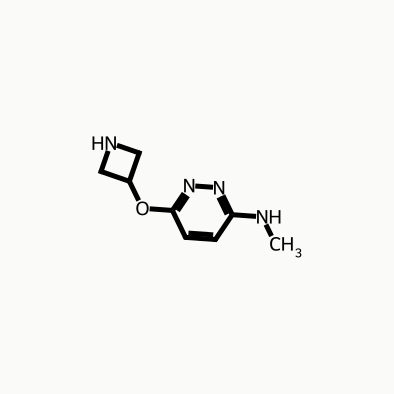 CNc1ccc(OC2CNC2)nn1